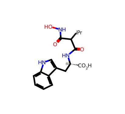 CC(C)C(C(=O)NO)C(=O)N[C@@H](Cc1c[nH]c2ccccc12)C(=O)O